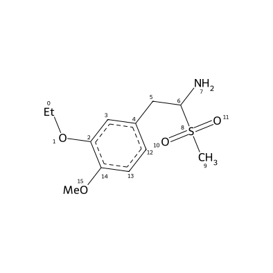 CCOc1cc(CC(N)S(C)(=O)=O)ccc1OC